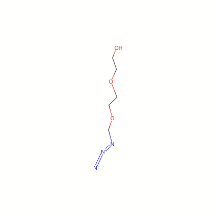 [N-]=[N+]=NCOCCOCCO